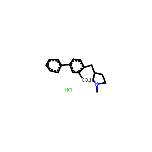 CN1CCC(Cc2ccc(-c3ccccc3)cc2C(=O)O)C1.Cl